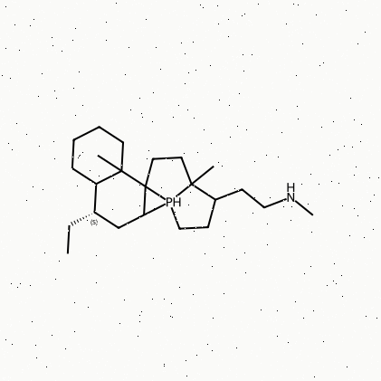 CC[C@H]1CC2C3(CCC4(C)C(CCNC)CC[PH]243)C2(C)CCCCC12